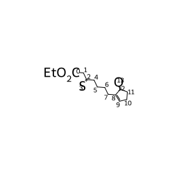 CCOC(=O)CC(=S)CCCCC1=CCCC1=O